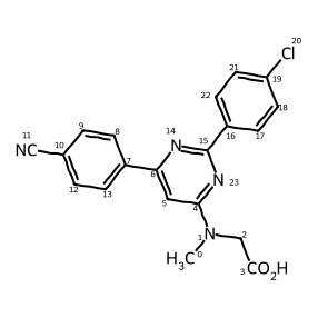 CN(CC(=O)O)c1cc(-c2ccc(C#N)cc2)nc(-c2ccc(Cl)cc2)n1